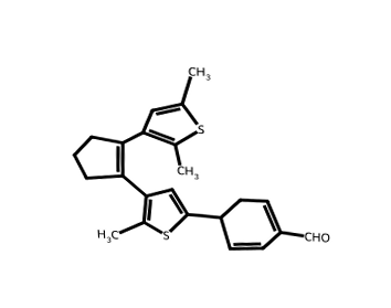 Cc1cc(C2=C(c3cc(C4C=CC(C=O)=CC4)sc3C)CCC2)c(C)s1